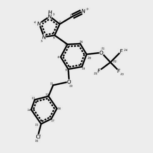 N#Cc1[nH]nnc1-c1cc(OCc2ccc(Cl)cc2)cc(OC(F)(F)F)c1